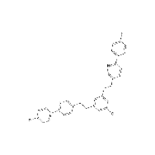 Fc1ccc(-c2ccc(CCc3cc(Cl)cc(CCc4ccc(-c5ccc(F)cc5)nc4)c3)cn2)cc1